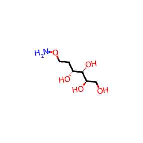 NOCC[C@@H](O)[C@H](O)[C@H](O)CO